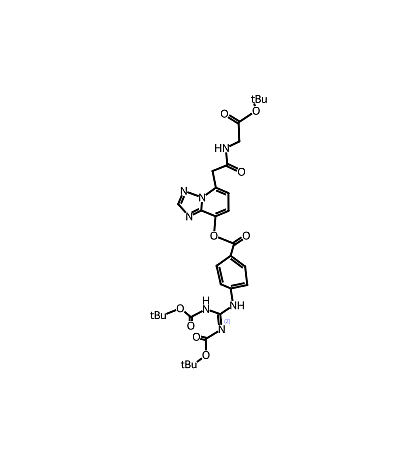 CC(C)(C)OC(=O)CNC(=O)Cc1ccc(OC(=O)c2ccc(N/C(=N/C(=O)OC(C)(C)C)NC(=O)OC(C)(C)C)cc2)c2ncnn12